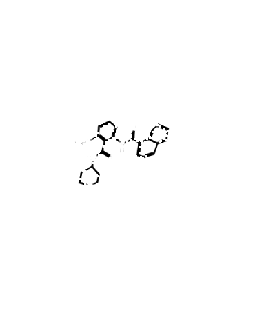 COc1cccc(NC(=O)c2cccc3ccccc23)c1C(=O)NC1CCOCC1